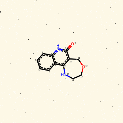 O=c1[nH]c2ccccc2c2c1COCCN2